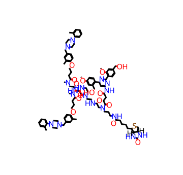 COc1ccc(-c2cc(NC(=O)CCC(=O)N(CCCNC(=O)CCCCC3SC[C@@H]4NC(=O)N[C@H]34)CC(=O)NCCN(CCNC(=O)CN(C)C(=O)CCCOc3ccc(CN4CCN(c5ccccc5C)CC4)cc3C)CCNC(=O)CN(C)C(=O)CCCOc3ccc(CN4CCN(c5ccccc5C)CC4)cc3C)nc(-c3ccc(CO)cc3OC)n2)c(CO)c1